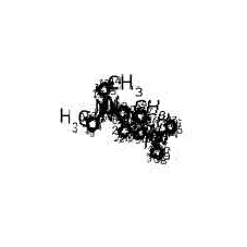 Cc1cccc(-c2nc(-c3cccc(C)c3)nc(-c3cccc(-c4cccc(-c5ccc(-c6nc(-c7ccccc7)nc(-c7ccccc7)n6)cc5)c4-c4nc(C)cc(C)n4)c3)n2)c1